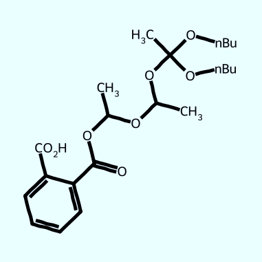 CCCCOC(C)(OCCCC)OC(C)OC(C)OC(=O)c1ccccc1C(=O)O